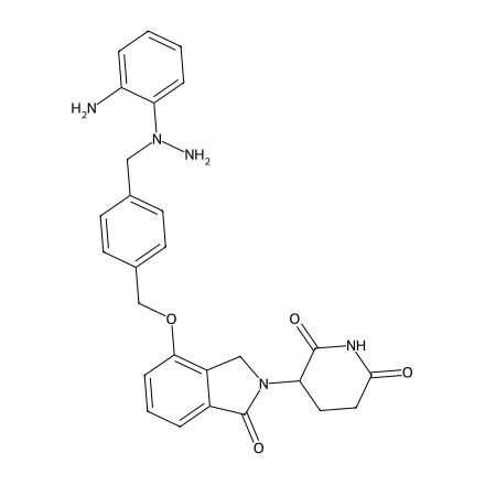 Nc1ccccc1N(N)Cc1ccc(COc2cccc3c2CN(C2CCC(=O)NC2=O)C3=O)cc1